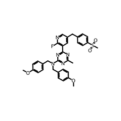 COc1ccc(CN(Cc2ccc(OC)cc2)c2nc(C)nc(-c3cc(Cc4ccc(S(C)(=O)=O)cc4)cnc3F)n2)cc1